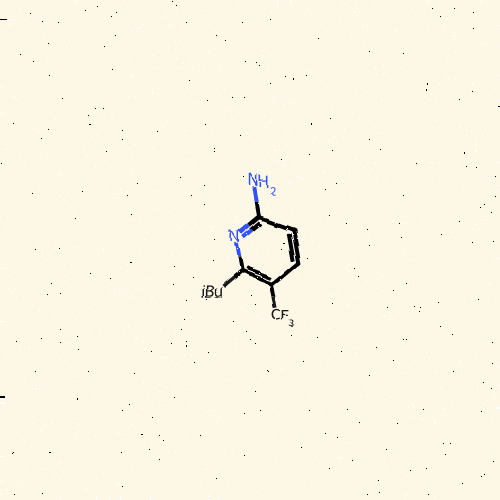 CCC(C)c1nc(N)ccc1C(F)(F)F